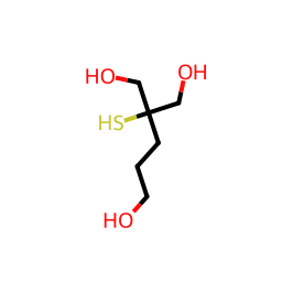 OCCCC(S)(CO)CO